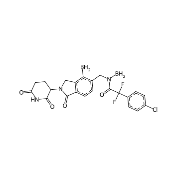 Bc1c(CN(B)C(=O)C(F)(F)c2ccc(Cl)cc2)ccc2c1CN(C1CCC(=O)NC1=O)C2=O